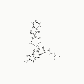 CN(C)CCOc1cc(C=C2SC(=O)NC2=O)nc(N2CCCN(C(=O)Nc3ccccc3)CC2)n1